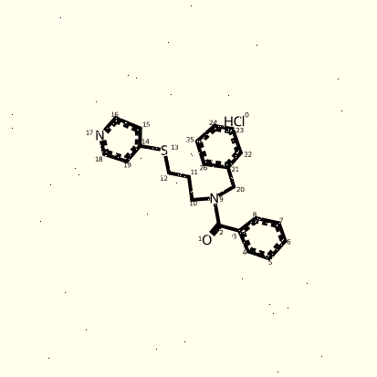 Cl.O=C(c1ccccc1)N(CCCSc1ccncc1)Cc1ccccc1